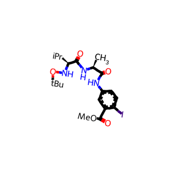 COC(=O)c1cc(NC(=O)[C@H](C)NC(=O)[C@@H](NOC(C)(C)C)C(C)C)ccc1I